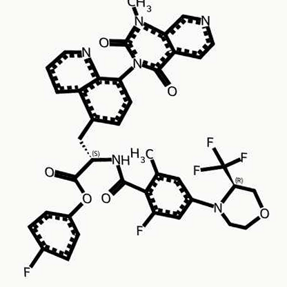 Cc1cc(N2CCOC[C@@H]2C(F)(F)F)cc(F)c1C(=O)N[C@@H](Cc1ccc(-n2c(=O)c3ccncc3n(C)c2=O)c2ncccc12)C(=O)Oc1ccc(F)cc1